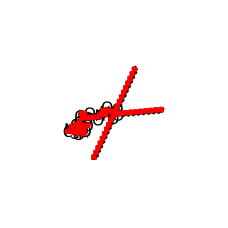 [C-]#[N+]CCOP(=O)(OC[C@H]1O[C@@H](C)CC1OC(=O)CCC(=O)N1CCN(C(=O)c2cc(OCCCCCCCCCCCCCCCCCC)c(OCCCCCCCCCCCCCCCCCC)c(OCCCCCCCCCCCCCCCCCC)c2)CC1)OC1[C@@H](COC)O[C@@H](C)[C@H]1O[Si](C)(C)C(C)(C)C